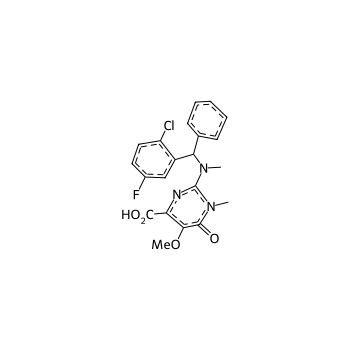 COc1c(C(=O)O)nc(N(C)C(c2ccccc2)c2cc(F)ccc2Cl)n(C)c1=O